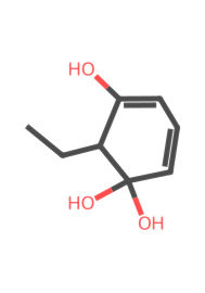 CCC1C(O)=CC=CC1(O)O